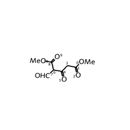 COC(=O)CC(=O)C(C=O)C(=O)OC